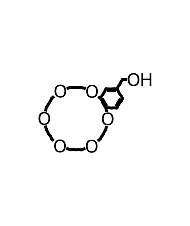 OCc1ccc2c(c1)OCCOCCOCCOCCOCCO2